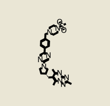 Cc1nc2nc(C)c(C[C@@H]3CCN(c4cnc(-c5ccc(CN6CCN(S(C)(=O)=O)CC6)cc5)cn4)C3)c(C)n2n1